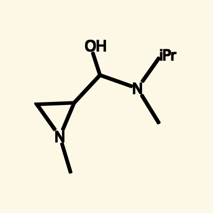 CC(C)N(C)C(O)C1CN1C